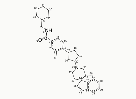 Cc1cc(C(=O)NCC2CCCCC2)ccc1C1CCC(N2CCC3(C=Cc4ccccc43)[C@@H](C)C2)C1